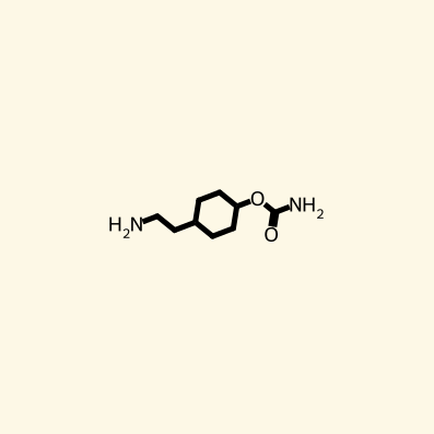 NCCC1CCC(OC(N)=O)CC1